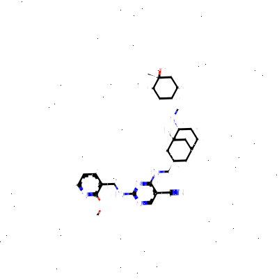 COc1ncccc1CNc1ncc(C#N)c(NC[C@@H]2CC3C[C@H](C2)[C@@H](NC[C@H]2CC[C@@](C)(O)CC2)[C@H](C)C3)n1